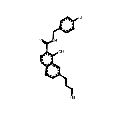 O=C(NCc1ccc(Cl)cc1)c1cnc2ccc(CCCO)cc2c1O